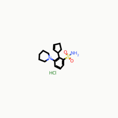 Cl.NS(=O)(=O)c1cccc(N2CCCCC2)c1C1C=CCC1